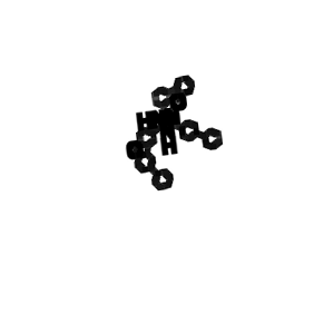 c1ccc(-c2ccc(C3=NC(c4cccc5c4oc4ccccc45)NC(c4ccc5oc6ccc(-c7ccccc7)cc6c5c4)N3)cc2)cc1